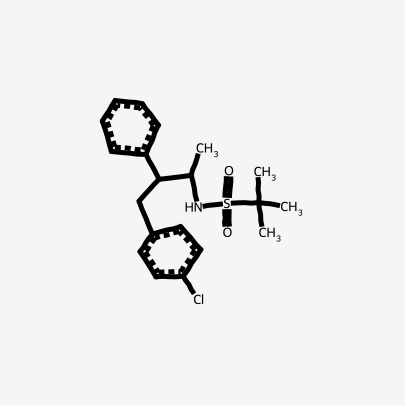 CC(NS(=O)(=O)C(C)(C)C)C(Cc1ccc(Cl)cc1)c1ccccc1